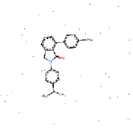 COc1ccc(-c2cccc3c2C(=O)N(c2ccc(C(C)C(=O)O)cc2)C3)cc1